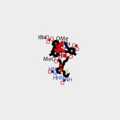 COc1cc2c(cc1OC(=O)OC(C)(C)C)CCN[C@]21CS[C@@H]2c3c(OC(O)CCCCC4SCC5NC(=O)NC54)c(C)c4c(c3[C@H](COC1=O)N1C2[C@@H]2c3c(cc(C)c(OC)c3OC(=O)CCCCC3SCC5NC(=O)NC53)CC([C@@H]1C#N)N2C)OCO4